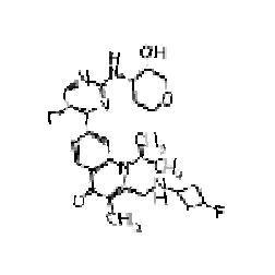 Cc1c(CNC2CC(F)C2)n(C(C)C)c2cc(-c3nc(N[C@@H]4CCOC[C@H]4O)ncc3F)ccc2c1=O